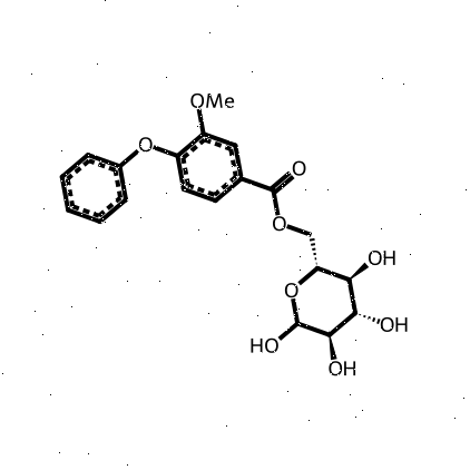 COc1cc(C(=O)OC[C@H]2OC(O)[C@H](O)[C@@H](O)[C@@H]2O)ccc1Oc1ccccc1